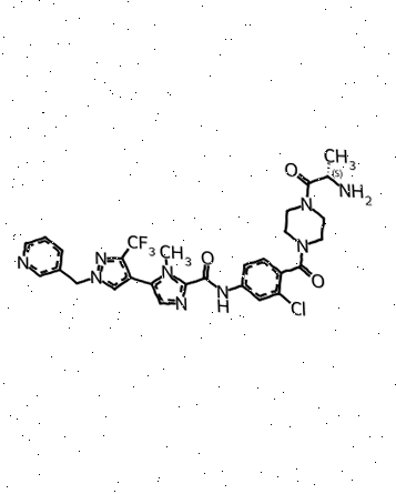 C[C@H](N)C(=O)N1CCN(C(=O)c2ccc(NC(=O)c3ncc(-c4cn(Cc5cccnc5)nc4C(F)(F)F)n3C)cc2Cl)CC1